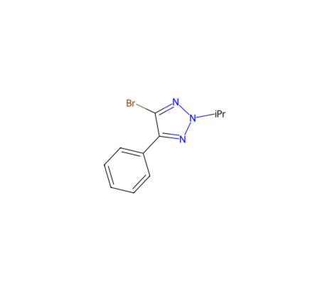 CC(C)n1nc(Br)c(-c2ccccc2)n1